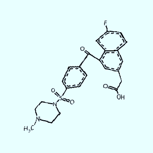 CN1CCN(S(=O)(=O)c2ccc(C(=O)c3cc(CC(=O)O)cc4ccc(F)cc34)cc2)CC1